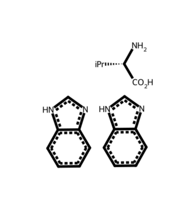 CC(C)[C@H](N)C(=O)O.c1ccc2[nH]cnc2c1.c1ccc2[nH]cnc2c1